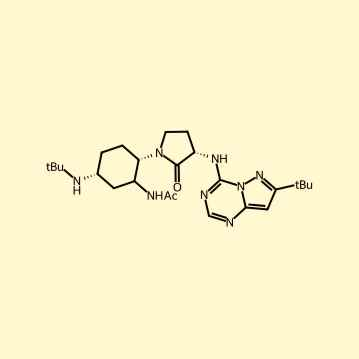 CC(=O)NC1C[C@H](NC(C)(C)C)CC[C@@H]1N1CC[C@H](Nc2ncnc3cc(C(C)(C)C)nn23)C1=O